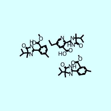 CCc1cnc(C2=NC(C)(C(C)C)C(=O)N2)c(C(=O)O)c1.COC(=O)c1cc(C)ccc1C1=NC(C)(C(C)C)C(=O)N1.COC(=O)c1ccc(C)cc1C1=NC(C)(C(C)C)C(=O)N1